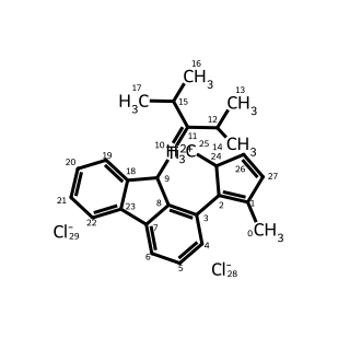 CC1=C(c2cccc3c2[CH]([Ti+2]=[C](C(C)C)C(C)C)c2ccccc2-3)C(C)C=C1.[Cl-].[Cl-]